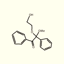 COC(OCCO)(C(=O)c1ccccc1)c1ccccc1